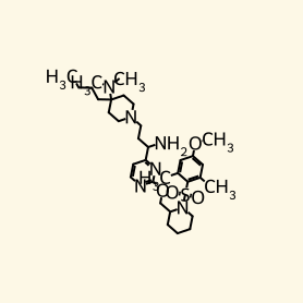 CCCCC1(N(C)C)CCN(CCC(N)c2ccnc(OCC3CCCCN3S(=O)(=O)c3c(C)cc(OC)cc3C)n2)CC1